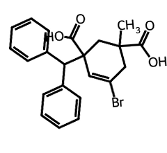 CC1(C(=O)O)CC(Br)=CC(C(=O)O)(C(c2ccccc2)c2ccccc2)C1